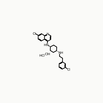 Cl.Cl.Clc1cccc(CCN[C@H]2CC[C@H](Nc3ccnc4cc(Cl)ccc34)CC2)c1